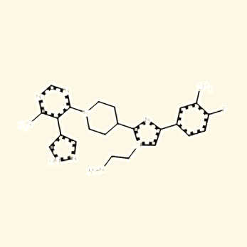 CNCCn1cc(-c2ccc(F)c(C)c2)nc1C1CCN(c2ncnc(N)c2-c2cn[nH]c2)CC1